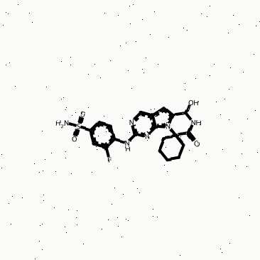 NS(=O)(=O)c1ccc(Nc2ncc3cc4n(c3n2)C2(CCCCC2)C(=O)NC4O)c(F)c1